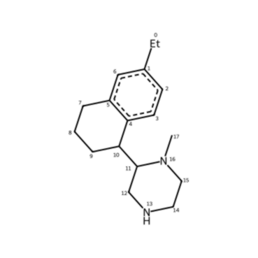 CCc1ccc2c(c1)CCCC2C1CNCCN1C